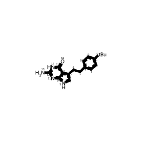 CC(C)(C)c1ccc(CCc2c[nH]c3nc(N)[nH]c(=O)c23)cc1